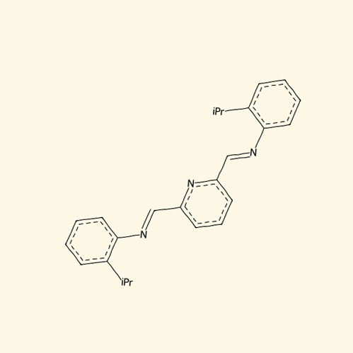 CC(C)c1ccccc1N=Cc1cccc(C=Nc2ccccc2C(C)C)n1